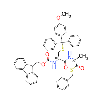 COc1ccc(C(SC[C@H](NC(=O)OCC2c3ccccc3-c3ccccc32)C(=O)N[C@@H](C)C(=O)SCc2ccccc2)(c2ccccc2)c2ccccc2)cc1